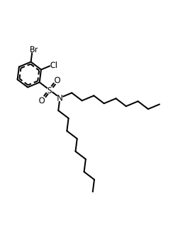 CCCCCCCCCN(CCCCCCCCC)S(=O)(=O)c1cccc(Br)c1Cl